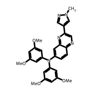 COc1cc(OC)cc(N(c2cc(OC)cc(OC)c2)c2ccc3ncc(-c4cnn(C)c4)nc3c2)c1